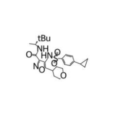 C[C@H](NC(=O)c1noc(C2CCOCC2)c1NS(=O)(=O)c1ccc(C2CC2)cc1)C(C)(C)C